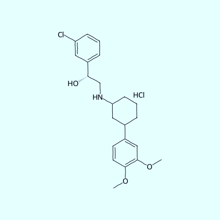 COc1ccc(C2CCCC(NC[C@H](O)c3cccc(Cl)c3)C2)cc1OC.Cl